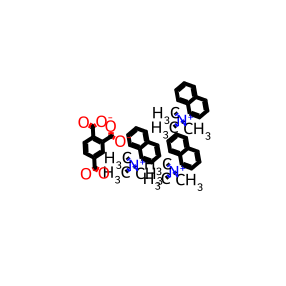 C[N+](C)(C)c1cccc2ccccc12.C[N+](C)(C)c1cccc2ccccc12.C[N+](C)(C)c1cccc2ccccc12.O=C([O-])c1ccc(C(=O)[O-])c(C(=O)[O-])c1